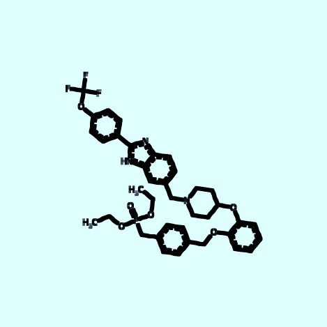 CCOP(=O)(Cc1ccc(COc2ccccc2OC2CCN(Cc3ccc4nc(-c5ccc(OC(F)(F)F)cc5)[nH]c4c3)CC2)cc1)OCC